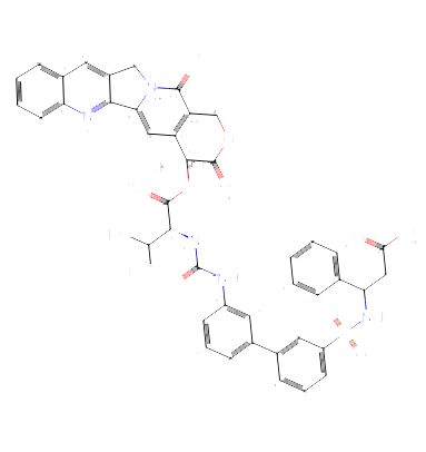 CC(C)[C@H](NC(=O)Nc1cccc(-c2cccc(S(=O)(=O)NC(CC(=O)O)c3ccccc3)c2)c1)C(=O)O[C@]1(I)C(=O)OCc2c1cc1n(c2=O)Cc2cc3ccccc3nc2-1